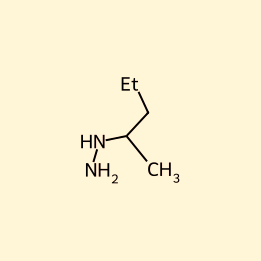 CCCC(C)NN